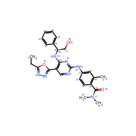 CCc1nnc(-c2cnc(Nc3ccc(C(=O)N(C)C)c(C)c3)nc2N[C@H](CO)c2ccccc2)o1